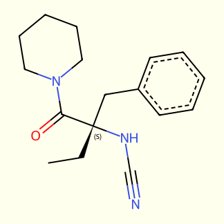 CC[C@@](Cc1ccccc1)(NC#N)C(=O)N1CCCCC1